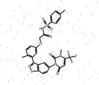 Cc1ccc(S(=O)(=O)NC(=O)COc2ccc(C)c(-c3nsc4ccc(-n5c(=O)cc(C(F)(F)F)n(C)c5=O)cc34)c2)cc1